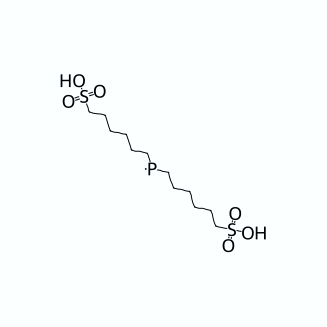 O=S(=O)(O)CCCCCC[P]CCCCCCS(=O)(=O)O